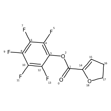 O=C(Oc1c(F)c(F)c(F)c(F)c1F)C1=CCCO1